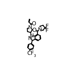 C=CC(=O)N1CCC(n2nc(-c3ccc(C(F)(F)F)cc3)c3cccc(C(=O)N4CCC(F)(F)C4)c32)C1